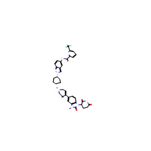 Cn1c(=O)n(C2CCC(=O)NC2=O)c2ccc(C3=CCN(C[C@H]4CC[C@H](n5cc6cc(NC(=O)c7cccc(C(F)(F)F)n7)ccc6n5)CC4)CC3(F)F)cc21